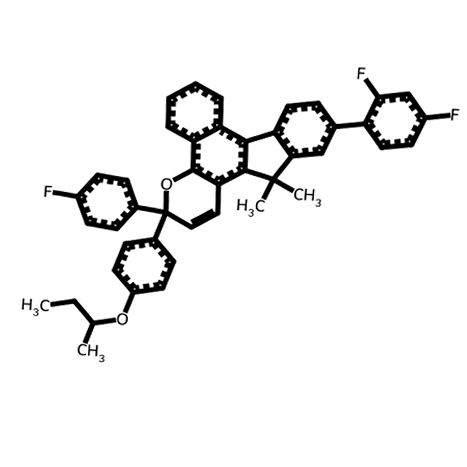 CCC(C)Oc1ccc(C2(c3ccc(F)cc3)C=Cc3c4c(c5ccccc5c3O2)-c2ccc(-c3ccc(F)cc3F)cc2C4(C)C)cc1